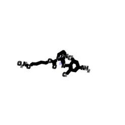 Nc1cc(Cl)c(/N=C2\NCCN2C(=O)OCCCCO[N+](=O)[O-])c(Cl)c1